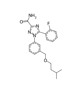 CC(C)CCOCc1cccc(-n2nc(C(N)=O)nc2-c2ccccc2F)c1